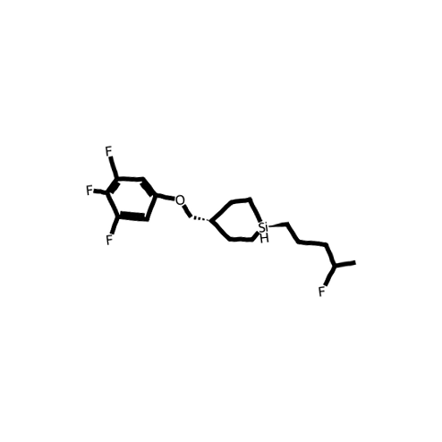 CC(F)CCC[Si@H]1CC[C@H](COc2cc(F)c(F)c(F)c2)CC1